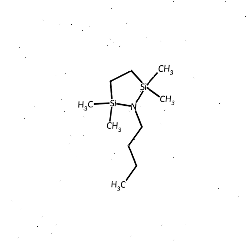 CCCCN1[Si](C)(C)CC[Si]1(C)C